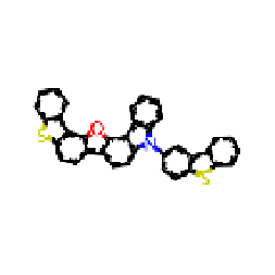 c1ccc2c(c1)sc1ccc(-n3c4ccccc4c4c5oc6c(ccc7sc8ccccc8c76)c5ccc43)cc12